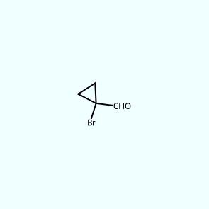 O=CC1(Br)CC1